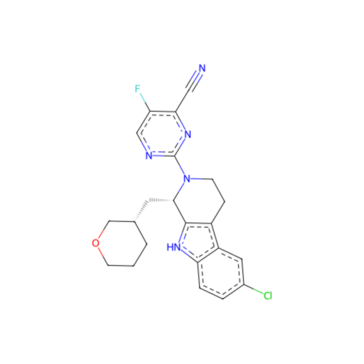 N#Cc1nc(N2CCc3c([nH]c4ccc(Cl)cc34)[C@@H]2C[C@@H]2CCCOC2)ncc1F